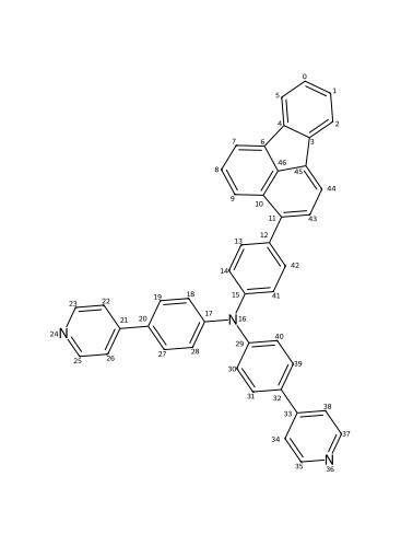 c1ccc2c(c1)-c1cccc3c(-c4ccc(N(c5ccc(-c6ccncc6)cc5)c5ccc(-c6ccncc6)cc5)cc4)ccc-2c13